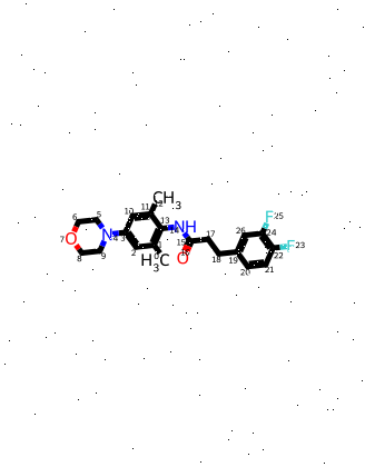 Cc1cc(N2CCOCC2)cc(C)c1NC(=O)CCc1ccc(F)c(F)c1